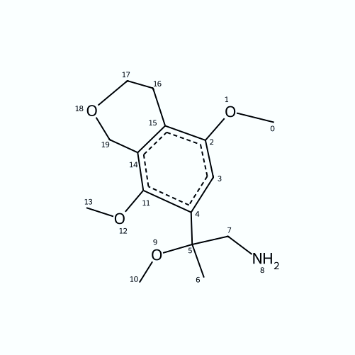 COc1cc(C(C)(CN)OC)c(OC)c2c1CCOC2